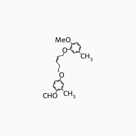 COc1ccc(C)cc1OC/C=C\CCOc1ccc(C=O)c(C)c1